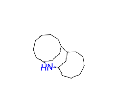 C1CCCC2CCC(CC1)NC1CCCCCCC2C1